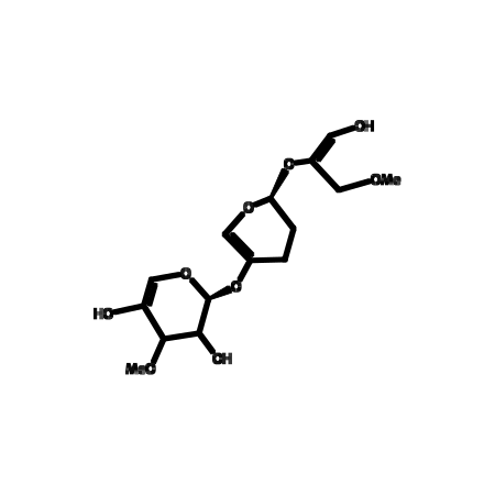 COC/C(=C\O)O[C@H]1CCC(O[C@@H]2OC=C(O)C(OC)C2O)=CO1